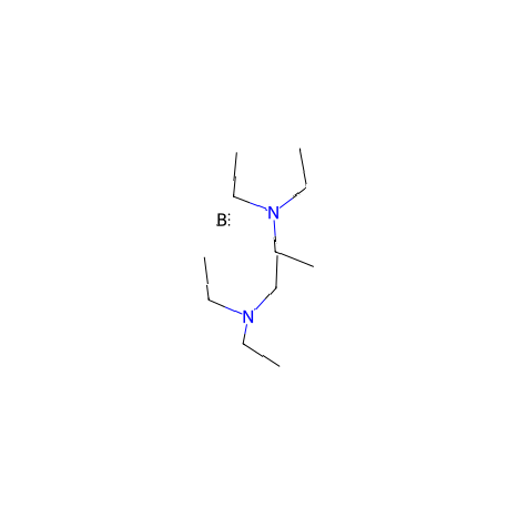 CCN(CC)CC.CCN(CC)CC.[B]